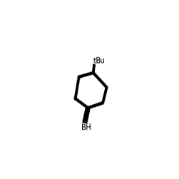 B=C1CCC(C(C)(C)C)CC1